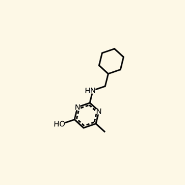 Cc1cc(O)nc(NCC2CCCCC2)n1